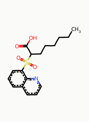 CCCCCCC(C(=O)O)S(=O)(=O)c1cccc2cccnc12